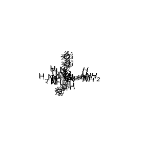 CN(C(=O)[C@H](CCCNC(=N)N)NC(=O)[C@@H](N)Cc1ccc(-c2ccccc2)cc1)[C@@H](Cc1ccc(-c2ccccc2)cc1)C(=O)NCCCCNC(=N)N